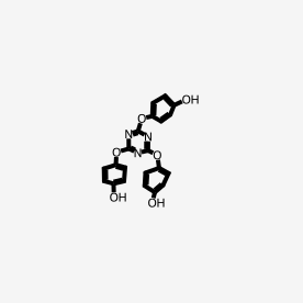 Oc1ccc(Oc2nc(Oc3ccc(O)cc3)nc(Oc3ccc(O)cc3)n2)cc1